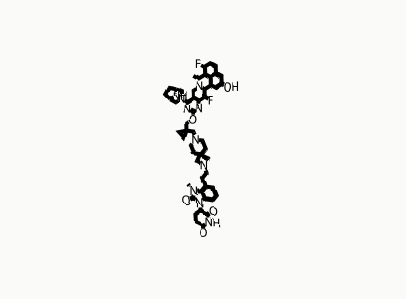 CCc1c(F)ccc2cc(O)cc(-c3ncc4c(N5CC6CCC(C5)N6)nc(OCC5(CN6CCC7(CC6)CN(CCc6cccc8c6n(C)c(=O)n8C6CCC(=O)NC6=O)C7)CC5)nc4c3F)c12